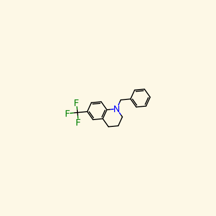 FC(F)(F)c1ccc2c(c1)CCCN2Cc1ccccc1